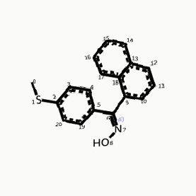 CSc1ccc(/C(=N\O)c2cccc3ccccc23)cc1